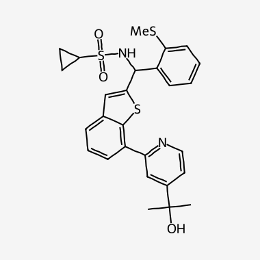 CSc1ccccc1C(NS(=O)(=O)C1CC1)c1cc2cccc(-c3cc(C(C)(C)O)ccn3)c2s1